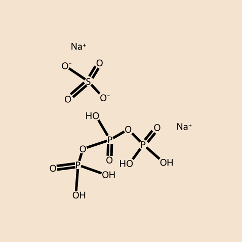 O=P(O)(O)OP(=O)(O)OP(=O)(O)O.O=S(=O)([O-])[O-].[Na+].[Na+]